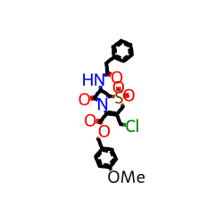 COc1ccc(COC(=O)C2=C(CCl)CS(=O)(=O)C3C(NC(=O)Cc4ccccc4)C(=O)N23)cc1